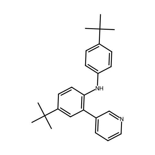 CC(C)(C)c1ccc(Nc2ccc(C(C)(C)C)cc2-c2cccnc2)cc1